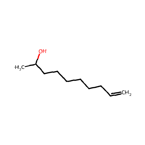 [CH2]C(O)CCCCCCC=C